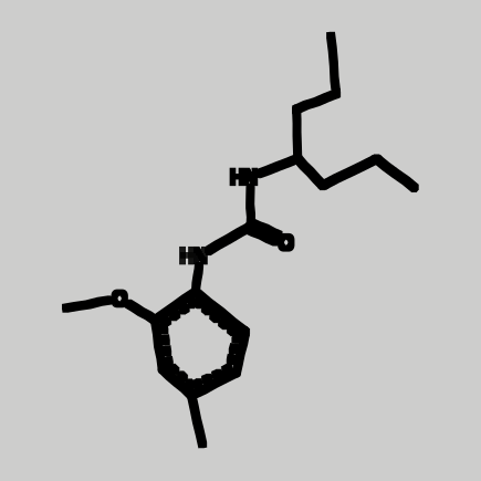 CCCC(CCC)NC(=O)Nc1ccc(C)cc1OC